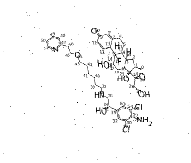 C[C@@H]1C[C@H]2[C@@H]3CCC4=CC(=O)C=C[C@]4(C)[C@@]3(F)[C@@H](O)C[C@]2(C)[C@@]1(O)C(=O)CO.Nc1c(Cl)cc([C@@H](O)CNCCCCCCOCCc2ccccn2)cc1Cl